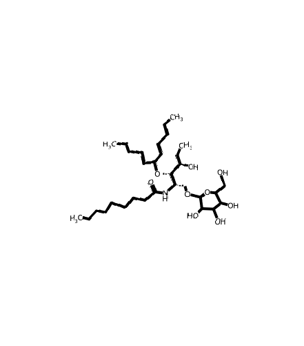 CCCCCCCCC(=O)N[C@@H](COC1OC(CO)C(O)C(O)C1O)[C@H](OC(CCCCC)CCCCC)[C@H](O)CC